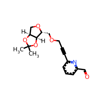 CC1(C)O[C@H]2[C@H](CO[C@@H]2COCC#Cc2cccc(C=O)n2)O1